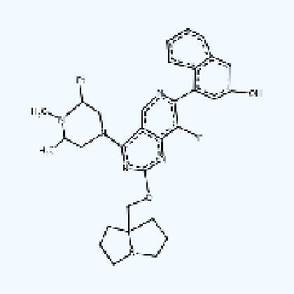 CCC1CN(c2nc(OCC34CCCN3CCC4)nc3c(F)c(-c4cc(O)cc5ccccc45)ncc23)CC(C)N1C